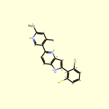 COc1cc(C)c(-c2ccc3[nH]c(-c4c(F)cccc4Cl)cc3n2)cn1